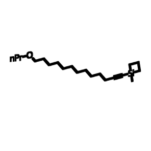 CCCOCCCCCCCCCCCC#C[Si]1(C)CCC1